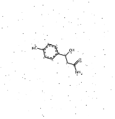 N#Cc1ccc(C(O)CC(N)=O)cc1